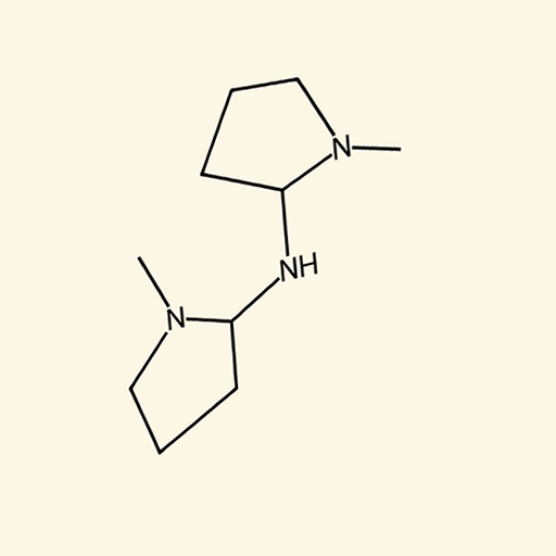 CN1CCCC1NC1CCCN1C